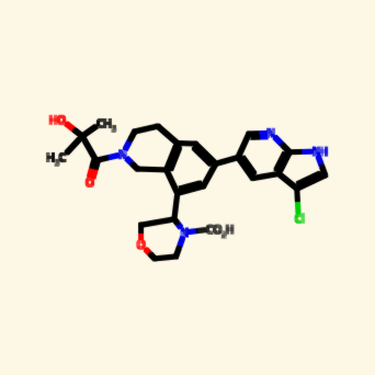 CC(C)(O)C(=O)N1CCc2cc(-c3cnc4[nH]cc(Cl)c4c3)cc(C3COCCN3C(=O)O)c2C1